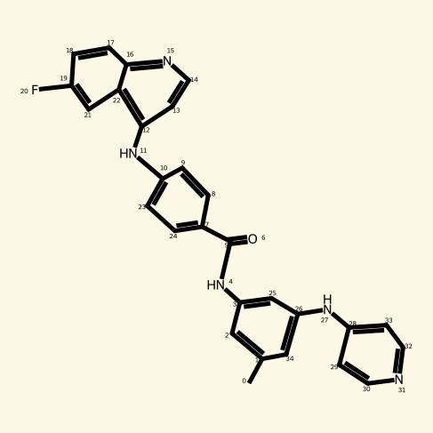 Cc1cc(NC(=O)c2ccc(Nc3ccnc4ccc(F)cc34)cc2)cc(Nc2ccncc2)c1